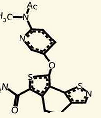 CC(=O)N(C)c1ccc(Oc2sc(C(N)=O)c3c2-c2sncc2CC3)cn1